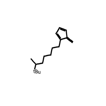 C=C1C=CC=C1CCCCCC(C)C(C)(C)C